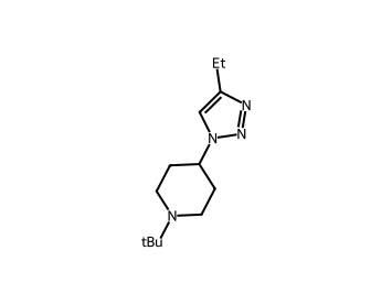 CCc1cn(C2CCN(C(C)(C)C)CC2)nn1